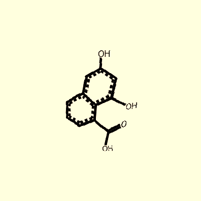 O=C(O)c1cccc2cc(O)cc(O)c12